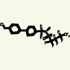 CN(C(F)(F)c1ccc(-c2ccc(CCl)cc2)cc1)S(=O)(=O)C(F)(F)C(F)(F)C(F)(F)C(F)(F)F